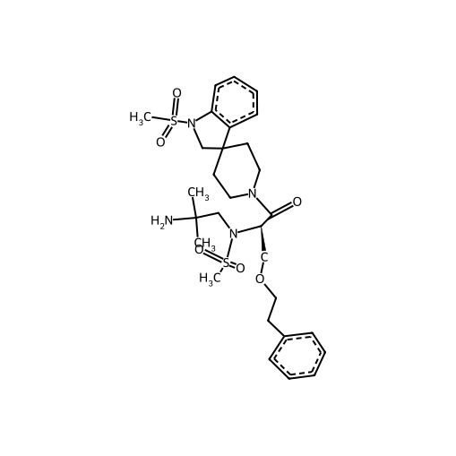 CC(C)(N)CN([C@H](COCCc1ccccc1)C(=O)N1CCC2(CC1)CN(S(C)(=O)=O)c1ccccc12)S(C)(=O)=O